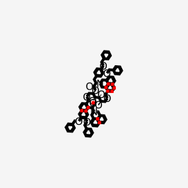 O=C(O[C@@H]1COC(c2ccccc2)O[C@H]1[C@@H]1OC(c2ccccc2)OC[C@H]1OC(=O)C(Cc1ccc(OCc2ccccc2)c(OCc2ccccc2)c1)N(Cc1ccccc1)Cc1ccccc1)C(Cc1ccc(OCc2ccccc2)c(OCc2ccccc2)c1)N(Cc1ccccc1)Cc1ccccc1